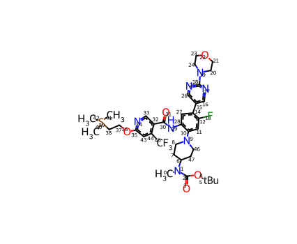 CN(C(=O)OC(C)(C)C)C1CCN(c2cc(F)c(-c3cnc(N4CCOCC4)nc3)cc2NC(=O)c2cnc(OCCS(C)(C)C)cc2C(F)(F)F)CC1